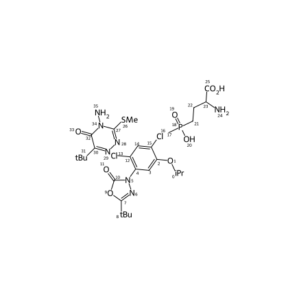 CC(C)Oc1cc(-n2nc(C(C)(C)C)oc2=O)c(Cl)cc1Cl.CP(=O)(O)CCC(N)C(=O)O.CSc1nnc(C(C)(C)C)c(=O)n1N